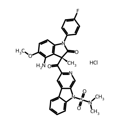 COc1ccc2c(c1N)[C@@](C)(C(=O)c1cc3c4ccccc4n(S(=O)(=O)N(C)C)c3cn1)C(=O)N2c1ccc(F)cc1.Cl